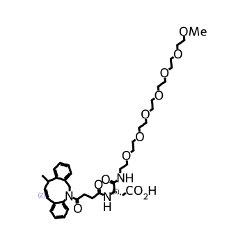 COCCOCCOCCOCCOCCOCCOCCNC(=O)[C@H](CC(=O)O)NC(=O)CCC(=O)N1Cc2ccccc2C(C)/C=C\c2ccccc21